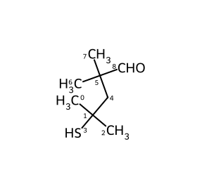 CC(C)(S)CC(C)(C)C=O